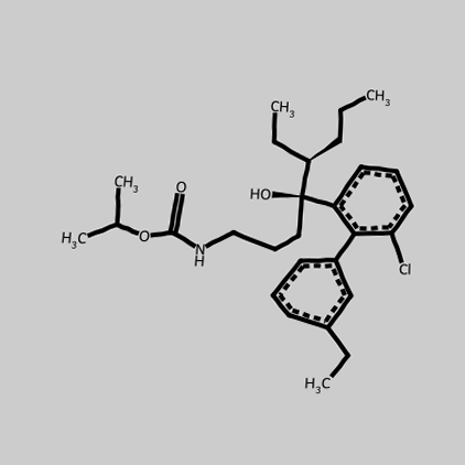 CCC[C@H](CC)[C@@](O)(CCCNC(=O)OC(C)C)c1cccc(Cl)c1-c1cccc(CC)c1